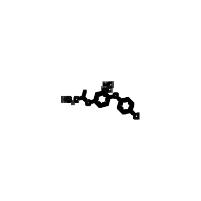 CC(Oc1ccc(Oc2ccc(Cl)cc2)cc1)C(=O)O.Cl.Cl